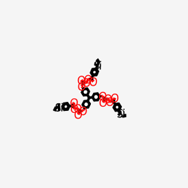 C=C[Si](C)(C)c1ccc(C(=O)OOC(=O)OC2CCC(C(C3CCC(OC(=O)OOC(=O)c4ccc([Si](C)(C)C=C)cc4)CC3)C3CCC(OC(=O)OOC(=O)c4ccc([Si](C)(C)C=C)cc4)CC3)CC2)cc1